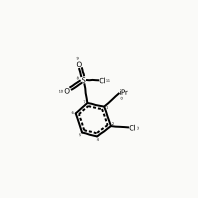 CC(C)c1c(Cl)cccc1S(=O)(=O)Cl